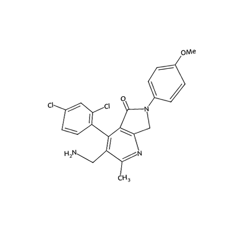 COc1ccc(N2Cc3nc(C)c(CN)c(-c4ccc(Cl)cc4Cl)c3C2=O)cc1